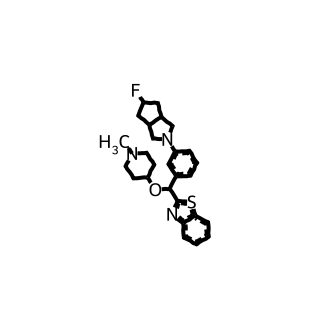 CN1CCC(OC(c2cccc(N3CC4CC(F)CC4C3)c2)c2nc3ccccc3s2)CC1